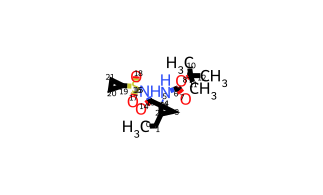 CCC1C[C@]1(NC(=O)OC(C)(C)C)C(=O)NS(=O)(=O)C1CC1